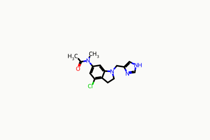 CC(=O)N(C)c1cc(Cl)c2c(c1)N(Cc1c[nH]cn1)CC2